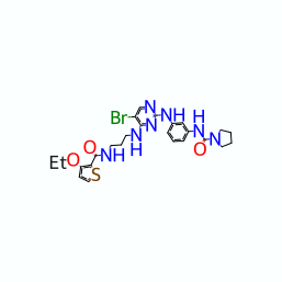 CCOc1ccsc1C(=O)NCCCNc1nc(Nc2cccc(NC(=O)N3CCCC3)c2)ncc1Br